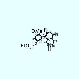 CCOC(=O)Cc1ccc(OC)c(-c2c(F)cc(F)c3c2CNCC3)c1